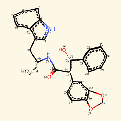 O=C(O)[C@H](Cc1c[nH]c2ccccc12)NC(=O)[C@H](c1ccc2c(c1)OCO2)[C@H](O)c1ccccc1